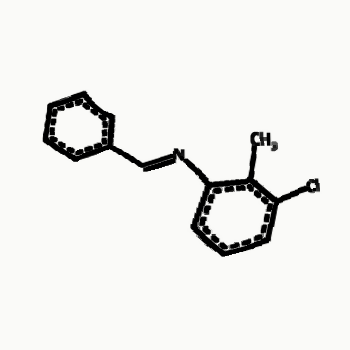 Cc1c(Cl)cccc1N=Cc1ccccc1